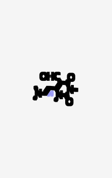 CN(C)/C=C/c1c(C=O)c(=O)n(C)c(=O)n1C